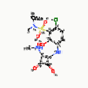 CCCCNc1c(Nc2ccc(Cl)c(S(=O)(=O)N(C)OC)c2O)c(=O)c1=O